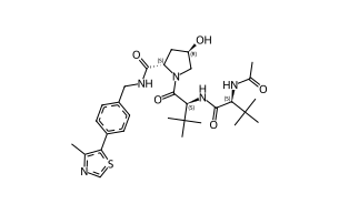 CC(=O)N[C@H](C(=O)N[C@H](C(=O)N1C[C@H](O)C[C@H]1C(=O)NCc1ccc(-c2scnc2C)cc1)C(C)(C)C)C(C)(C)C